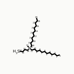 CCCCCCCCCCCC[N+](C)(CCC[SiH3])CCCCCCCCCCCC